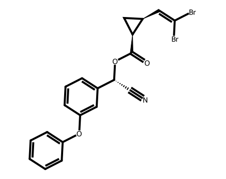 N#C[C@@H](OC(=O)[C@H]1C[C@H]1C=C(Br)Br)c1cccc(Oc2ccccc2)c1